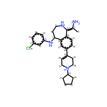 C/C(N)=C1/NCCC(Nc2cccc(Cl)c2)c2cc(C3=CCN(C4CCCC4)CC3)ccc21